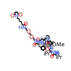 CC[C@H](C)[C@@H]([C@@H](CC(=O)N1CCC[C@H]1[C@H](OC)[C@@H](C)C(=O)N[C@H](Cc1ccccc1)C(=O)NCCOCCOCCNC(=O)CCCCCN1C(=O)C=CC1=O)OC)N(C)C(=O)[C@@H](NC(=O)C(C(C)C)N(C)C)C(C)C